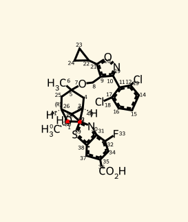 C[C@H]1C[C@@H]2CC(C)(OCc3c(-c4c(Cl)cccc4Cl)noc3C3CC3)C[C@H]1[C@]2(O)c1nc2c(F)cc(C(=O)O)cc2s1